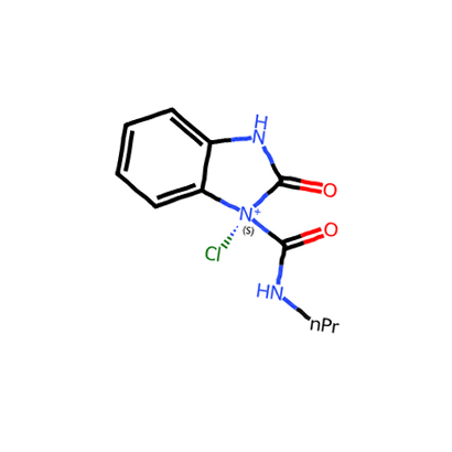 CCCNC(=O)[N@+]1(Cl)C(=O)Nc2ccccc21